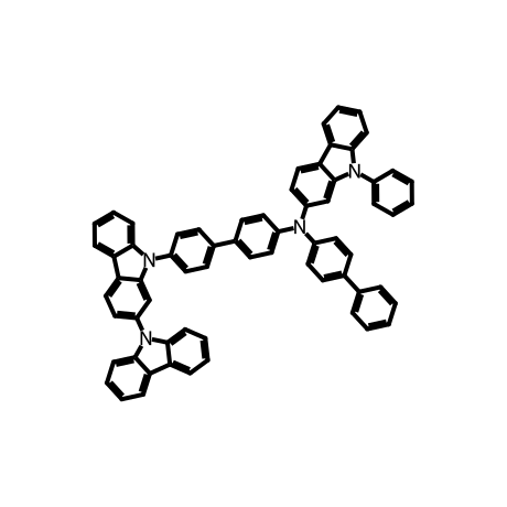 c1ccc(-c2ccc(N(c3ccc(-c4ccc(-n5c6ccccc6c6ccc(-n7c8ccccc8c8ccccc87)cc65)cc4)cc3)c3ccc4c5ccccc5n(-c5ccccc5)c4c3)cc2)cc1